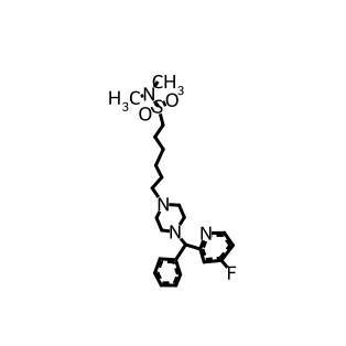 CN(C)S(=O)(=O)CCCCCCN1CCN(C(c2ccccc2)c2cc(F)ccn2)CC1